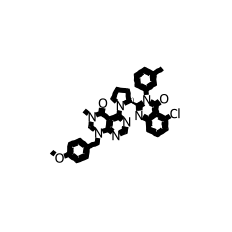 COc1ccc(CN2CN(C)C(=O)c3c2ncnc3N2CCC[C@H]2c2nc3cccc(Cl)c3c(=O)n2-c2cccc(C)c2)cc1